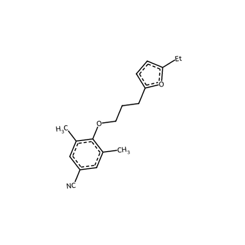 CCc1ccc(CCCOc2c(C)cc(C#N)cc2C)o1